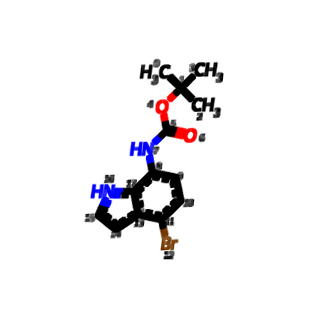 CC(C)(C)OC(=O)Nc1ccc(Br)c2cc[nH]c12